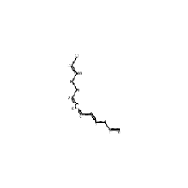 C=CCC=CC=C=CCCC=CC